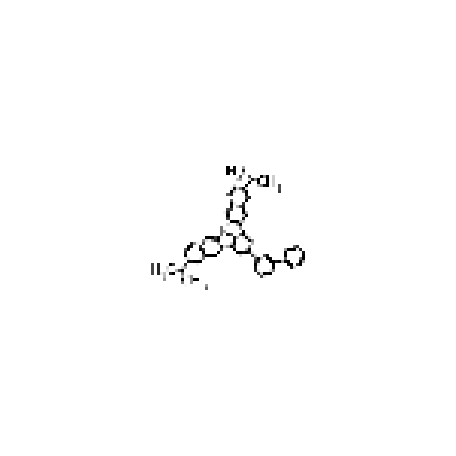 CC(C)c1ccc2c(c1)CC1C(=C2)n2c3cc4ccc(C(C)C)cc4cc3c3cc(-c4cccc(-c5ccccc5)c4)cc1c32